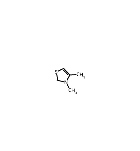 CC1=CS[CH]N1C